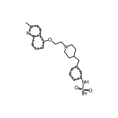 Cc1ccc2c(OCCN3CCC(Cc4cccc(NS(=O)(=O)C(C)C)c4)CC3)cccc2n1